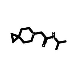 CC(C)NC(=O)CN1CCC2(CC1)CC2